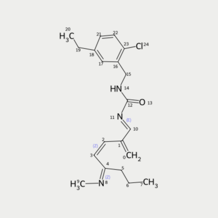 C=C(/C=C\C(CCC)=N/C)/C=N/C(=O)NCc1cc(CC)ccc1Cl